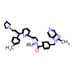 CCC(C)N(C/C=C/c1cccc(/C(=C/CN2CCCC2)c2ccc(C)cc2)n1)C(=O)c1ccc(Cn2c(C)nc3cnccc32)cc1